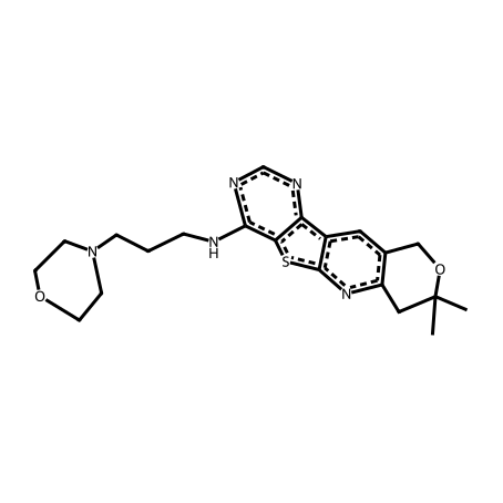 CC1(C)Cc2nc3sc4c(NCCCN5CCOCC5)ncnc4c3cc2CO1